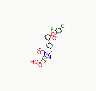 C[C@@]1(c2ccc(Cl)cc2F)Oc2cccc(-c3ccc(Cc4nc5sc(C(=O)O)cc5n4CC4CCO4)cc3)c2O1